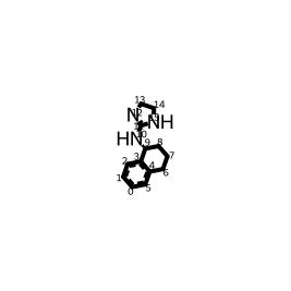 c1ccc2c(c1)CCC[C@@H]2NC1=NCCN1